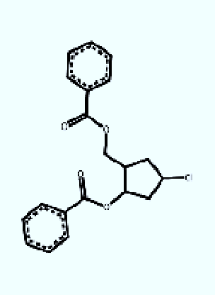 O=C(OCC1CC(Cl)CC1OC(=O)c1ccccc1)c1ccccc1